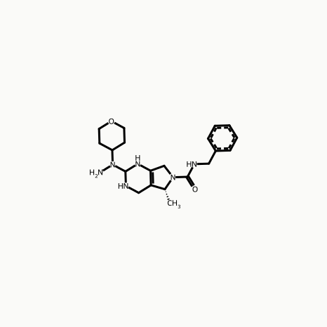 C[C@@H]1C2=C(CN1C(=O)NCc1ccccc1)NC(N(N)C1CCOCC1)NC2